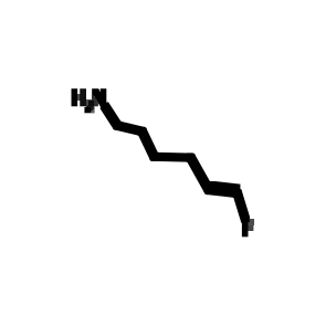 NCCCCC=CF